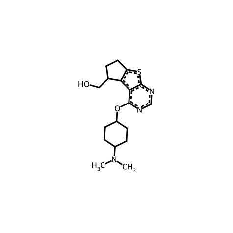 CN(C)C1CCC(Oc2ncnc3sc4c(c23)C(CO)CC4)CC1